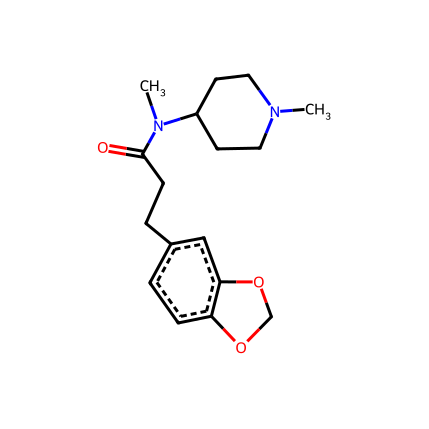 CN1CCC(N(C)C(=O)CCc2ccc3c(c2)OCO3)CC1